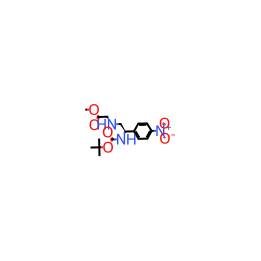 COC(=O)CNC[C@H](NC(=O)OC(C)(C)C)c1ccc([N+](=O)[O-])cc1